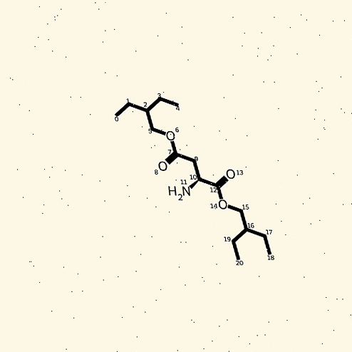 CCC(CC)COC(=O)C[C@H](N)C(=O)OCC(CC)CC